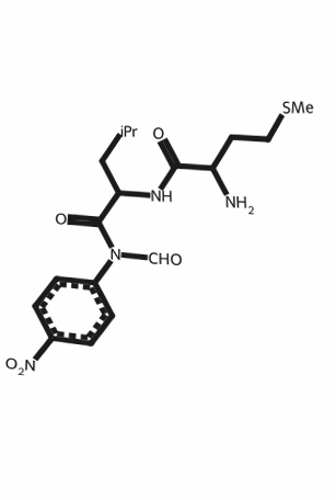 CSCCC(N)C(=O)NC(CC(C)C)C(=O)N(C=O)c1ccc([N+](=O)[O-])cc1